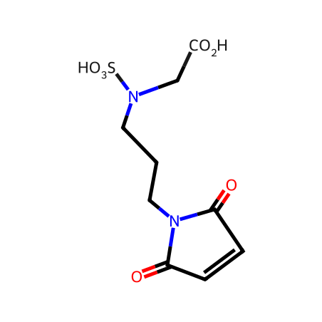 O=C(O)CN(CCCN1C(=O)C=CC1=O)S(=O)(=O)O